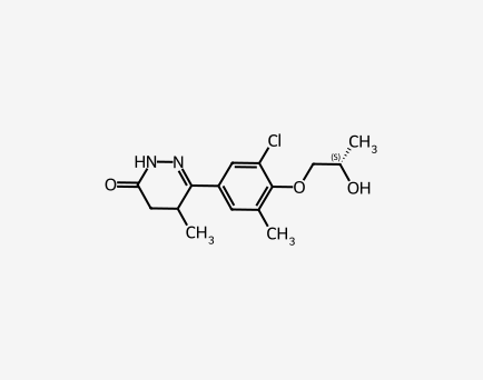 Cc1cc(C2=NNC(=O)CC2C)cc(Cl)c1OC[C@H](C)O